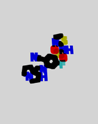 N#Cc1cc(S(=O)(=O)Nc2nccs2)c(F)cc1NCC12CCCN1CCC2